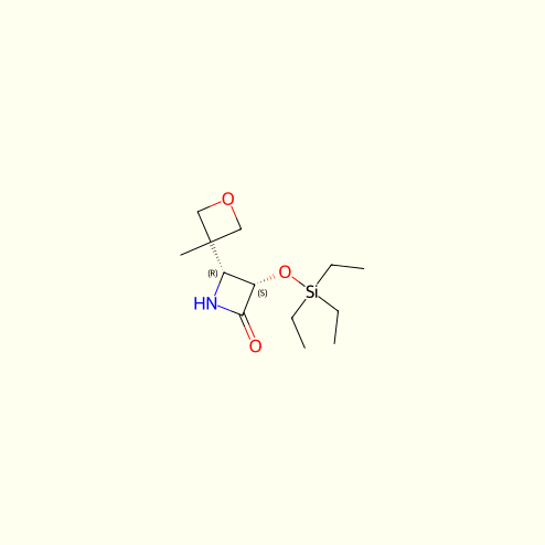 CC[Si](CC)(CC)O[C@@H]1C(=O)N[C@@H]1C1(C)COC1